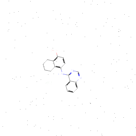 Cl.Oc1ccc(Nc2ncnc3ccccc23)c2c1CCCC2